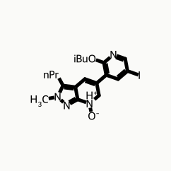 CCCc1c2c(nn1C)[NH+]([O-])CC(c1cc(I)cnc1OCC(C)C)=C2